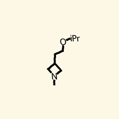 CC(C)OCCC1CN(C)C1